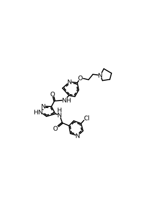 O=C(Nc1c[nH]nc1C(=O)Nc1ccc(OCCN2CCCC2)nc1)c1cncc(Cl)c1